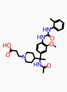 COc1cc(C(C)(NC(C)=O)C2CCN(CCC(=O)O)CC2)ccc1NC(=O)Nc1ccccc1C